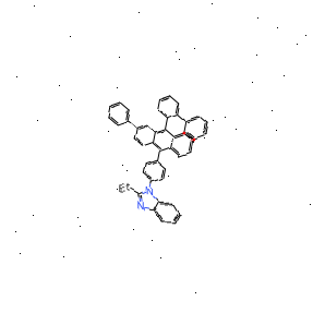 CCc1nc2ccccc2n1-c1ccc(-c2c3ccccc3c(-c3ccccc3-c3ccccc3)c3cc(-c4ccccc4)ccc23)cc1